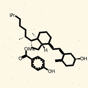 C=C1CC[C@H](O)C/C1=C/C=C1\CCC[C@]2(C)[C@@H]([C@H](C)CCCC(C)C)CC[C@@H]12.COC(=O)c1ccc(O)cc1